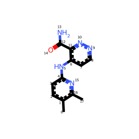 Cc1ccc(Nc2ccnnc2C(N)=O)nc1C